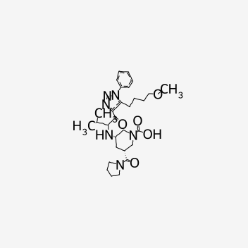 COCCCCc1c(C(=O)C(N[C@H]2C[C@@H](C(=O)N3CCCC3)CN(C(=O)O)C2)C(C)C)nnn1-c1ccccc1